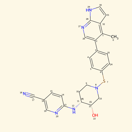 Cc1c(-c2ccc(SN3CC[C@@H](Nc4ccc(C#N)cn4)[C@@H](O)C3)cc2)cnc2[nH]ccc12